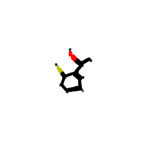 CC(=O)C1=[C]C=CCC1=S